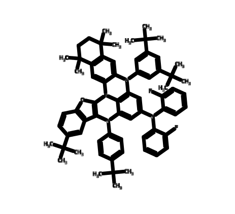 CC(C)(C)c1ccc(N2c3cc(N(c4ccccc4F)c4ccccc4F)cc4c3B(c3cc5c(cc3N4c3cc(C(C)(C)C)cc(C(C)(C)C)c3)C(C)(C)CCC5(C)C)c3oc4ccc(C(C)(C)C)cc4c32)cc1